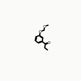 CCC(=O)c1cccc(OCOC)c1